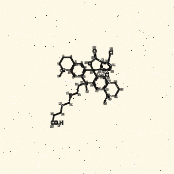 CN1CCCc2cc3c(cc21)[Si](C)(CCSCCCCC(=O)O)c1cc2c(cc1C31OC(=O)c3c(Cl)ccc(Cl)c31)CCCN2C